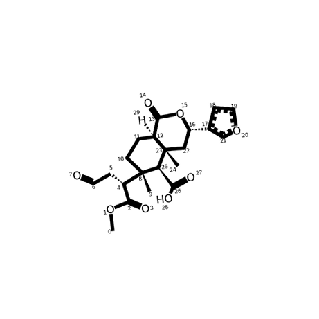 COC(=O)[C@H](CC=O)[C@]1(C)CC[C@H]2C(=O)O[C@H](c3ccoc3)C[C@]2(C)[C@H]1C(=O)O